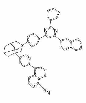 N#Cc1cccc2c(-c3ccc(C45CC6CC(CC(c7ccc(-c8cc(-c9ccc%10ccccc%10c9)nc(-c9ccccc9)n8)cc7)(C6)C4)C5)cc3)cccc12